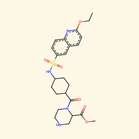 CCOc1ccc2cc(S(=O)(=O)NC3CCC(C(=O)N4CCNCC4C(=O)OC)CC3)ccc2n1